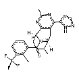 Cc1nc(-c2ccn[nH]2)c2c(n1)[C@@H]1CCC(C)[C@H](C2)N1C(=O)c1cccc(C(F)(F)F)c1C